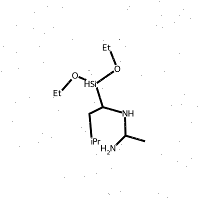 CCO[SiH](OCC)C(CC(C)C)NC(C)N